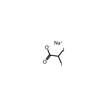 O=C([O-])C(I)I.[Na+]